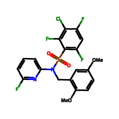 COc1ccc(OC)c(CN(c2cccc(F)n2)S(=O)(=O)c2c(F)cc(F)c(Cl)c2F)c1